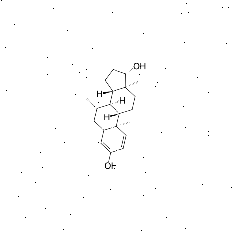 C[C@H]1CC2C=C(O)C=C[C@]2(C)[C@H]2CC[C@]3(C)[C@@H](O)CC[C@H]3[C@H]12